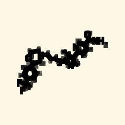 Cn1c(SCCCN2CCOC(c3ccc(C(F)(F)F)cc3)C2)nnc1-c1ccc(C(N)=O)cn1